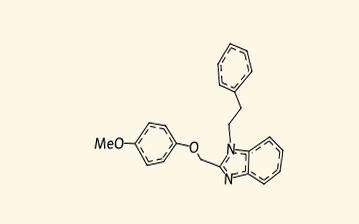 COc1ccc(OCc2nc3ccccc3n2CCc2ccccc2)cc1